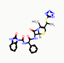 CC(Sc1nnn[nH]1)C1=C(C(=O)O)N2C(=O)C(NC(=O)C(NC(=O)n3c(=O)[nH]c4ccccc43)c3ccccc3)[C@@H]2SC1